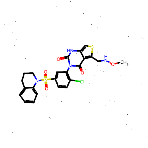 CONCc1scc2[nH]c(=O)n(-c3cc(S(=O)(=O)N4CCCc5ccccc54)ccc3Cl)c(=O)c12